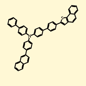 c1ccc(-c2ccc(N(c3ccc(-c4ccc(-c5cc6ccc7ccccc7c6s5)cc4)cc3)c3ccc(-c4ccc5ccccc5c4)cc3)cc2)cc1